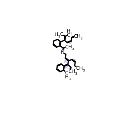 C=C/C=C\C(=C(C)C)C1=C(/C(C)=N/C/C=C(\C=C/CC)C(/C=C)=C2\C=CC=CC2C)C=CCC1